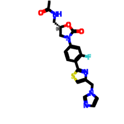 CC(=O)NC[C@H]1CN(c2ccc(-c3nc(Cn4ccnc4)cs3)c(F)c2)C(=O)O1